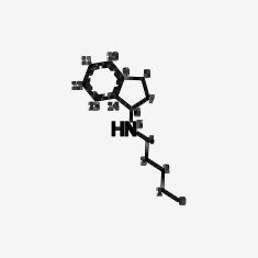 CCCCCNC1CCc2ccccc21